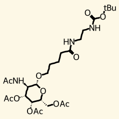 CC(=O)N[C@H]1[C@H](OCCCCC(=O)NCCNC(=O)OC(C)(C)C)O[C@H](COC(C)=O)[C@H](OC(C)=O)[C@@H]1OC(C)=O